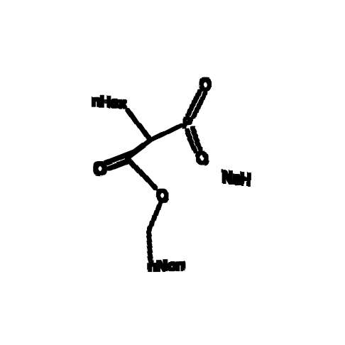 CCCCCCCCCCOC(=O)C(CCCCCC)P(=O)=O.[NaH]